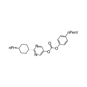 CCCCCc1ccc(OC(=O)Oc2cnc([C@H]3CC[C@H](CCC)CC3)nc2)cc1